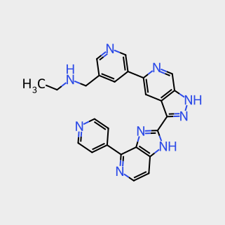 CCNCc1cncc(-c2cc3c(-c4nc5c(-c6ccncc6)nccc5[nH]4)n[nH]c3cn2)c1